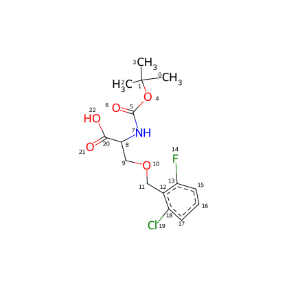 CC(C)(C)OC(=O)NC(COCc1c(F)cccc1Cl)C(=O)O